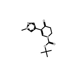 Cn1cc(C2=CN(C(=O)OC(C)(C)C)CCC2=O)cn1